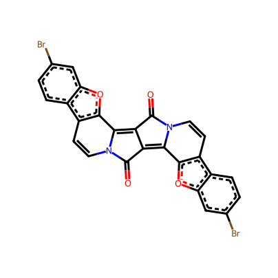 O=C1C2=C3c4oc5cc(Br)ccc5c4C=CN3C(=O)C2=C2c3oc4cc(Br)ccc4c3C=CN12